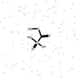 O=C(OO)P(=O)(O)O